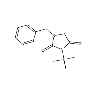 C[Si](C)(C)N1C(=O)CN(Cc2ccccc2)C1=O